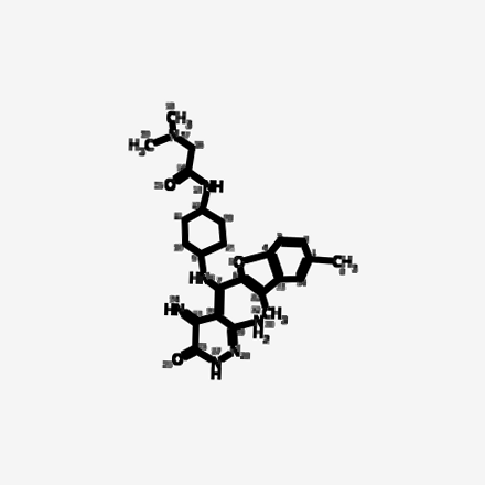 Cc1ccc2oc(/C(NC3CCC(NC(=O)CN(C)C)CC3)=C3/C(=N)C(=O)NN=C3N)c(C)c2c1